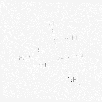 Cl.[2H]C([2H])([2H])C([2H])([2H])N